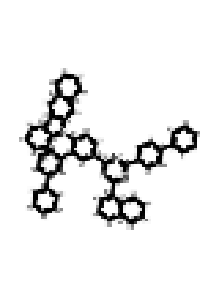 c1ccc(-c2ccc(-c3nc(-c4ccc(-n5c6ccccc6c6cc7ccccc7cc65)c(-c5cccc(-c6ccccc6)c5)c4)nc(-c4cccc5ccccc45)n3)cc2)cc1